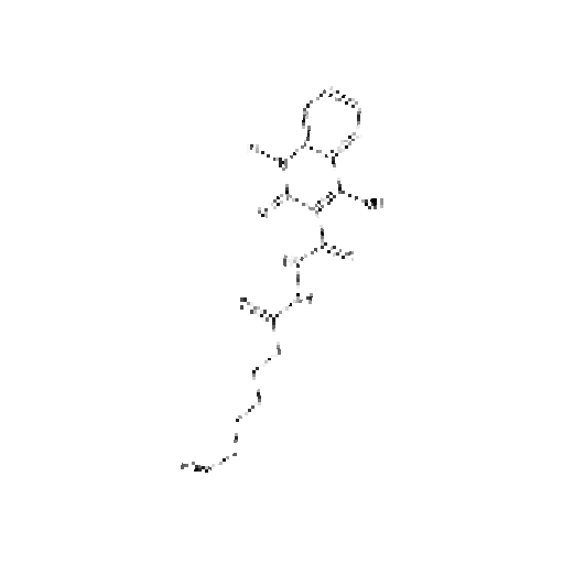 CCCCCCCCCCCCCCCC(=O)NNC(=O)c1c(O)c2ccccc2n(CC)c1=O